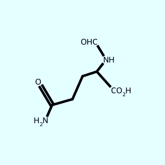 NC(=O)CCC(NC=O)C(=O)O